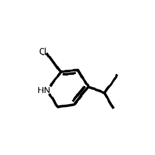 CC(C)C1=CCNC(Cl)=C1